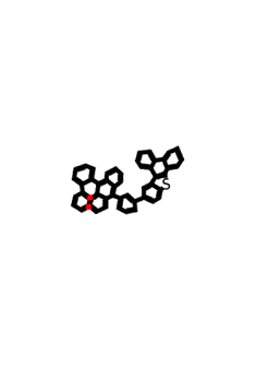 c1ccc(-c2ccccc2-c2c3ccccc3c(-c3cccc(-c4ccc5sc6c7ccccc7c7ccccc7c6c5c4)c3)c3ccccc23)cc1